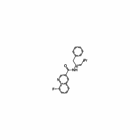 CC(C)C[C@H](Cc1ccccc1)NC(=O)c1cnc2c(F)cccc2c1